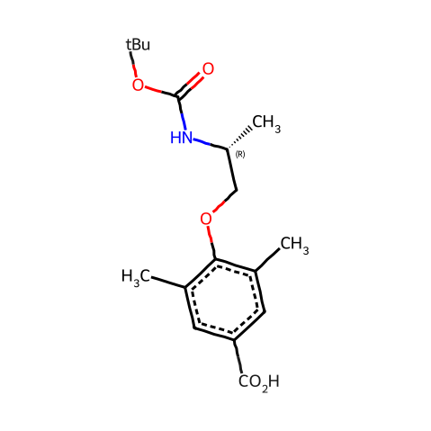 Cc1cc(C(=O)O)cc(C)c1OC[C@@H](C)NC(=O)OC(C)(C)C